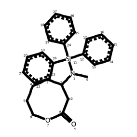 CN(C1CCCCOC(=O)C1)[Si](c1ccccc1)(c1ccccc1)c1ccccc1